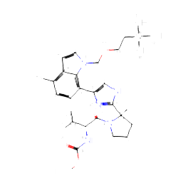 Bc1ccc(-c2c[nH]c([C@]3(C)CCCN3C(=O)[C@@H](NC(=O)OC)C(C)C)n2)c2c1ccn2COCC[Si](C)(C)C